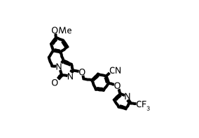 COc1ccc2c(c1)CCn1c-2cc(OCc2ccc(Oc3cccc(C(F)(F)F)n3)c(C#N)c2)nc1=O